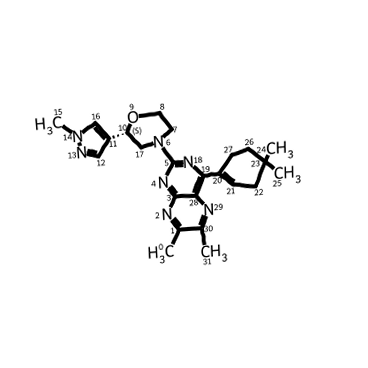 Cc1nc2nc(N3CCO[C@@H](c4cnn(C)c4)C3)nc(C3=CCC(C)(C)CC3)c2nc1C